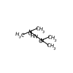 CCCCCCCCCCN(CCCCCCCCCC)C(=O)CCCCCCCNCCCCCCCC(=O)N(CCCCCCCCCC)CCCCCCCCCC